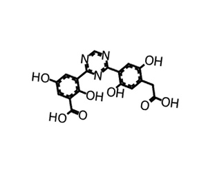 O=C(O)Cc1cc(O)c(-c2ncnc(-c3cc(O)cc(C(=O)O)c3O)n2)cc1O